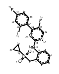 O=S(=O)(Cc1ccccc1Nc1ncc(F)c(-c2ccc(F)cc2F)n1)C1CC1